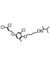 C/C(=N\OCCCCOc1c(C)cc(OCC=C(Cl)Cl)cc1Cl)C(C)C